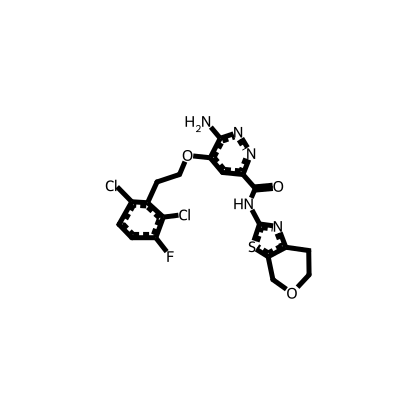 Nc1nnc(C(=O)Nc2nc3c(s2)COCC3)cc1OCCc1c(Cl)ccc(F)c1Cl